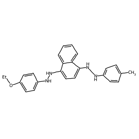 CCOc1ccc(NNc2ccc(NNc3ccc(C)cc3)c3ccccc23)cc1